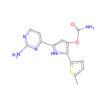 Cc1ccc(-c2[nH]c(-c3ccnc(N)n3)cc2OC(N)=O)s1